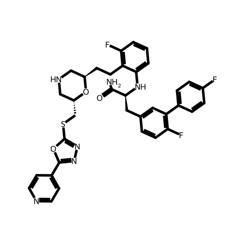 NC(=O)[C@H](Cc1ccc(F)c(-c2ccc(F)cc2)c1)Nc1cccc(F)c1CC[C@@H]1CNC[C@@H](CSc2nnc(-c3ccncc3)o2)O1